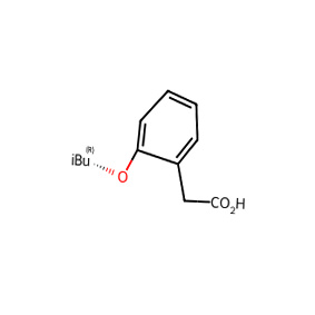 CC[C@@H](C)Oc1ccccc1CC(=O)O